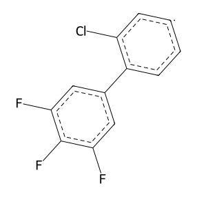 Fc1cc(-c2cc[c]cc2Cl)cc(F)c1F